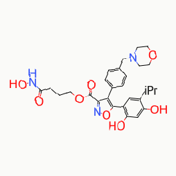 CC(C)c1cc(-c2onc(C(=O)OCCCC(=O)NO)c2-c2ccc(CN3CCOCC3)cc2)c(O)cc1O